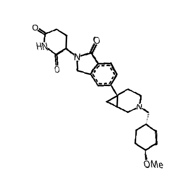 CO[C@H]1CC[C@H](CN2CCC3(c4ccc5c(c4)CN(C4CCC(=O)NC4=O)C5=O)CC3C2)CC1